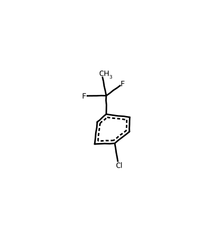 CC(F)(F)c1ccc(Cl)cc1